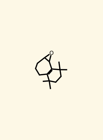 CC1(C)CCC(C)(C)C2=C1CCCC1OC21